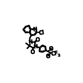 CC1(C)C(=O)N(c2ccc(S(=O)(=O)C(F)(F)F)cc2)C(=O)N1Cc1cc(Cl)nc2ccccc12